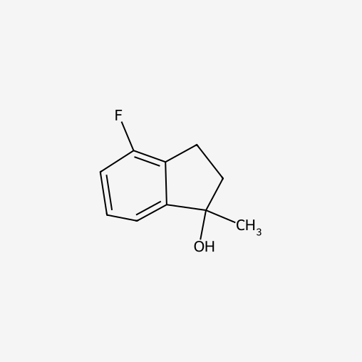 CC1(O)CCc2c(F)cccc21